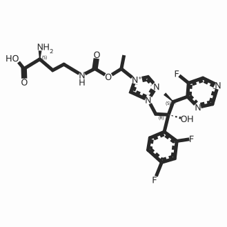 CC(OC(=O)NCC[C@H](N)C(=O)O)[n+]1cnn(C[C@](O)(c2ccc(F)cc2F)[C@@H](C)c2ncncc2F)c1